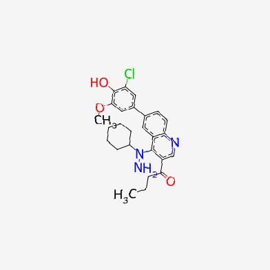 CCCC(=O)c1cnc2ccc(-c3cc(Cl)c(O)c(OC)c3)cc2c1N(N)C1CCCCC1